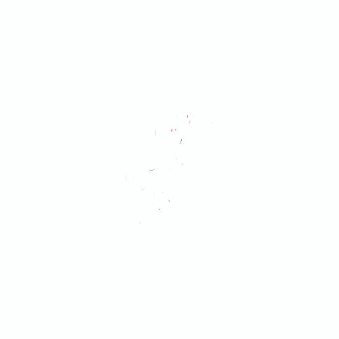 CC(=O)OC[C@]12CC[C@H](OC(C)=O)C[C@@H]1CC[C@H]1[C@@H]3[C@@H](O)C[C@H](OC(C)=O)[C@@]3(C)CC[C@@H]12